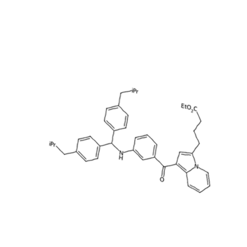 CCOC(=O)CCCc1cc(C(=O)c2cccc(NC(c3ccc(CC(C)C)cc3)c3ccc(CC(C)C)cc3)c2)c2ccccn12